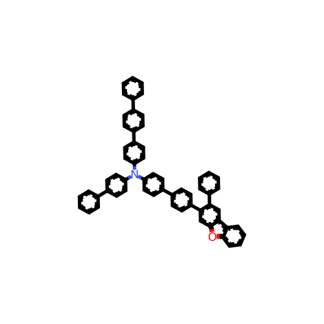 c1ccc(-c2ccc(-c3ccc(N(c4ccc(-c5ccccc5)cc4)c4ccc(-c5ccc(-c6cc7oc8ccccc8c7cc6-c6ccccc6)cc5)cc4)cc3)cc2)cc1